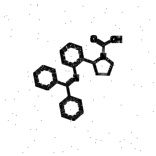 O=C(O)N1CCCC1c1ccccc1N=C(c1ccccc1)c1ccccc1